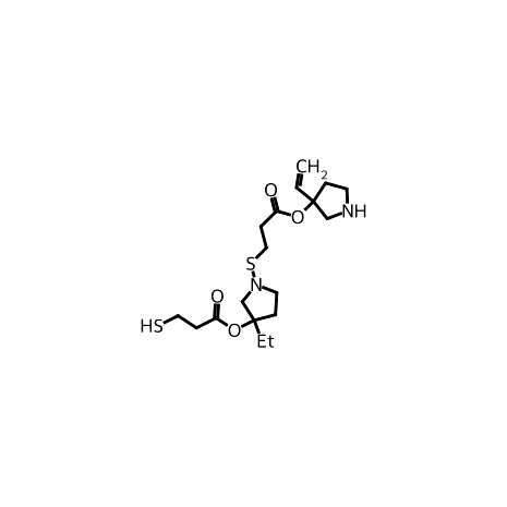 C=CC1(OC(=O)CCSN2CCC(CC)(OC(=O)CCS)C2)CCNC1